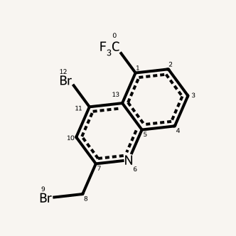 FC(F)(F)c1cccc2nc(CBr)cc(Br)c12